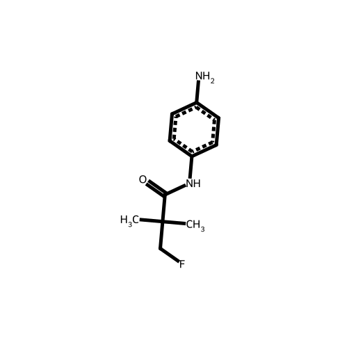 CC(C)(CF)C(=O)Nc1ccc(N)cc1